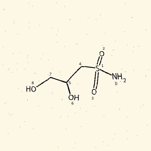 NS(=O)(=O)CC(O)CO